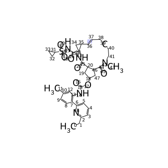 CCc1cccc(-c2ccc(C)cc2NC(=O)OC2CC3C(=O)NC4(C(=O)NS(=O)(=O)C5CC5)CC4/C=C/CCCCN(C)C(=O)C3C2)n1